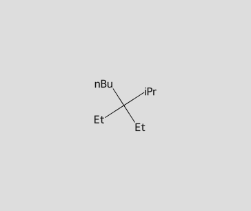 CCCCC(CC)(CC)C(C)C